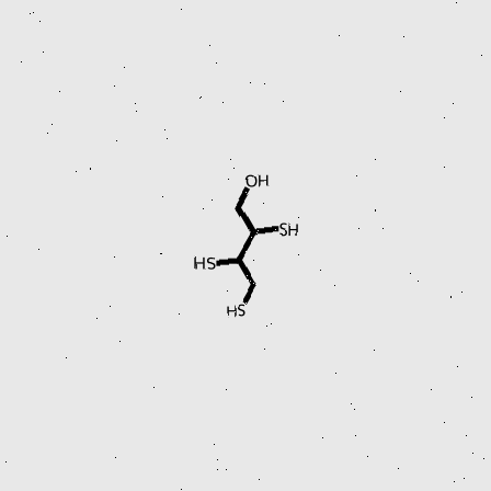 OCC(S)C(S)CS